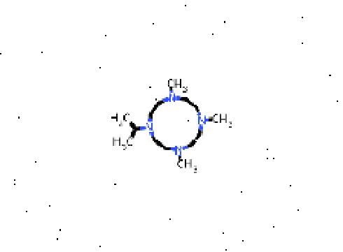 CC(C)N1CCN(C)CCN(C)CCN(C)CC1